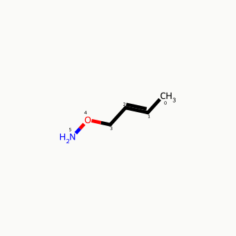 CC=CCON